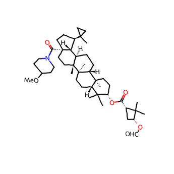 COC1CCN(C(=O)[C@]23CC[C@@H](C4(C)CC4)[C@@H]2[C@H]2CC[C@@H]4[C@@]5(C)CC[C@H](OC(=O)[C@H]6C[C@@H](OC=O)C6(C)C)C(C)(C)[C@@H]5CC[C@@]4(C)[C@]2(C)CC3)CC1